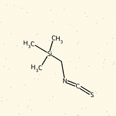 C[Si](C)(C)CN=C=S